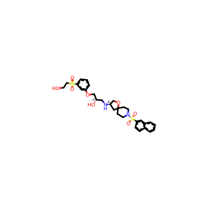 O=S(=O)(CCO)c1cccc(OC[C@@H](O)CN[C@H]2COC3(CCN(S(=O)(=O)c4ccc5ccccc5c4)CC3)C2)c1